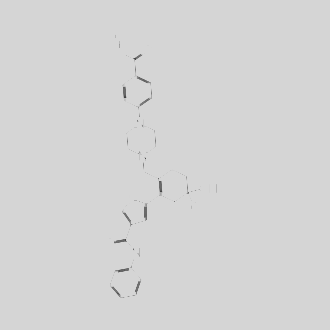 COC(=O)c1ccc(N2CCN(CC3=C(c4cc(C(=O)Nc5ccccc5)cs4)CC(C)(C)CC3)CC2)cc1